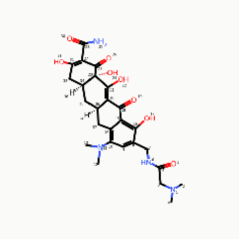 CN(C)CC(=O)NCc1cc(N(C)C)c2c(c1O)C(=O)C1=C(O)[C@]3(O)C(=O)C(C(N)=O)=C(O)C[C@@H]3C[C@@H]1C2